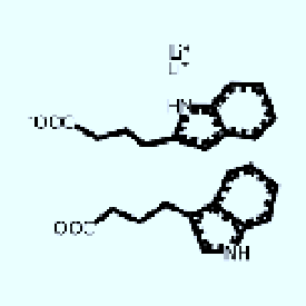 O=C([O-])CCCc1c[nH]c2ccccc12.O=C([O-])CCCc1cc2ccccc2[nH]1.[Li+].[Li+]